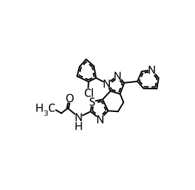 CCC(=O)Nc1nc2c(s1)-c1c(c(-c3cccnc3)nn1-c1ccccc1Cl)CC2